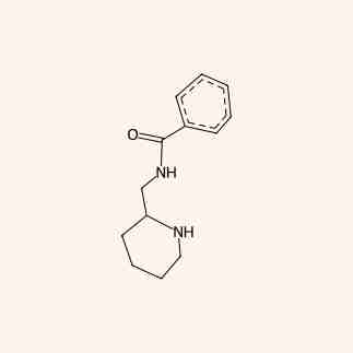 O=C(NCC1CCCCN1)c1ccccc1